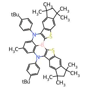 Cc1cc2c3c(c1)N(c1ccc(C(C)(C)C)cc1)c1c(sc4cc5c(cc14)C(C)(C)CC5(C)C)B3c1sc3cc4c(cc3c1N2c1ccc(C(C)(C)C)cc1)C(C)(C)CC4(C)C